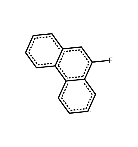 Fc1cc2c[c]ccc2c2cc[c]cc12